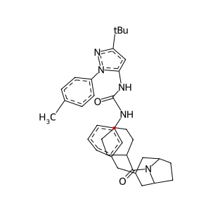 Cc1ccc(-n2nc(C(C)(C)C)cc2NC(=O)Nc2cccc(CC3CC4CCC(C3)N4C(=O)C3CCCCC3)c2)cc1